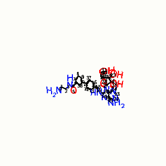 NCCNC(=O)c1cccc(-c2ccc(CNc3nc4c(N)ncnc4n3[C@@H]3O[C@H](CO)[C@@H](O)[C@H]3O)cc2)c1